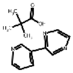 CC(C)(C)C(=O)O.c1cncc(-c2cnccn2)c1